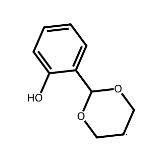 Oc1ccccc1C1OC[CH]CO1